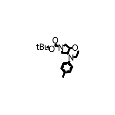 Cc1ccc(N2CCOC3CN(C(=O)OC(C)(C)C)CC32)cc1